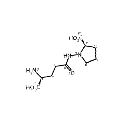 N[C@@H](CCC(=O)NN1CCC[C@@H]1C(=O)O)C(=O)O